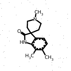 Cc1ccc2c(c1C)NC(=O)C21CCN(C)CC1